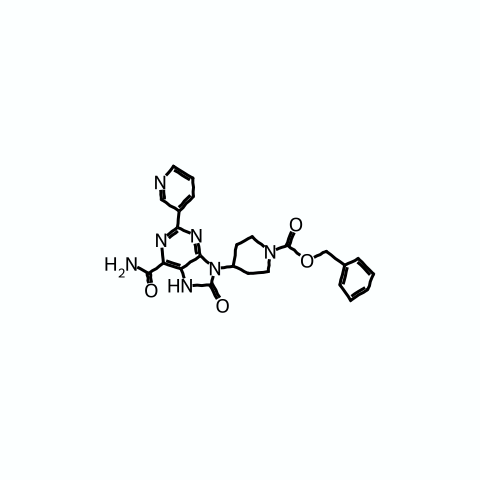 NC(=O)c1nc(-c2cccnc2)nc2c1[nH]c(=O)n2C1CCN(C(=O)OCc2ccccc2)CC1